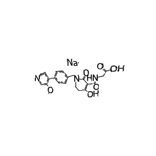 COc1cnccc1-c1ccc(CN2CCC(O)=C(C(=O)NCC(=O)O)C2=O)cc1.[Na]